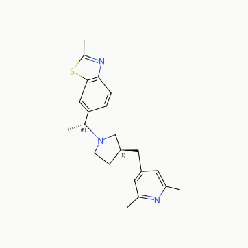 Cc1cc(C[C@H]2CCN([C@H](C)c3ccc4nc(C)sc4c3)C2)cc(C)n1